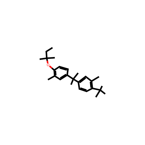 CCC(C)(C)Oc1ccc(C(C)(C)c2ccc(C(C)(C)C)c(C)c2)cc1C